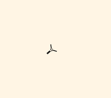 C=[Si](C)C